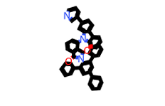 O=C1c2cccc(-n3c4ccccc4c4ccc(-c5cccnc5)cc43)c2C(=O)N1c1c(-c2ccccc2)cc(-c2ccccc2)cc1-c1ccccc1